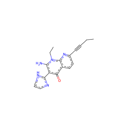 CCC#Cc1ccc2c(=O)c(-c3ncc[nH]3)c(N)n(CC)c2n1